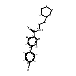 O=C(NCCN1CCCCC1)c1ccc(-c2ccc(F)cc2)nc1